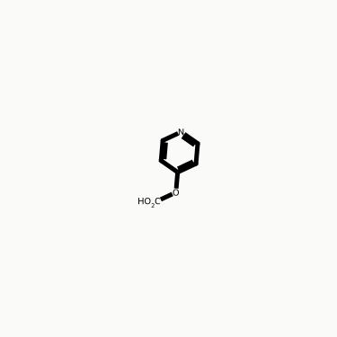 O=C(O)Oc1ccncc1